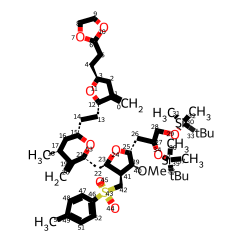 C=C1C[C@H](CCC2OCCO2)O[C@H]1CC[C@H]1C[C@@H](C)C(=C)[C@@H](C[C@@H]2O[C@H](CC(CO[Si](C)(C)C(C)(C)C)O[Si](C)(C)C(C)(C)C)[C@H](OC)[C@H]2CS(=O)(=O)c2ccc(C)cc2)O1